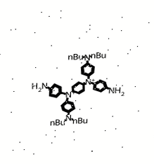 CCCCN(CCCC)c1ccc([N+](=C2C=CC(=[N+](c3ccc(N)cc3)c3ccc(N(CCCC)CCCC)cc3)C=C2)c2ccc(N)cc2)cc1